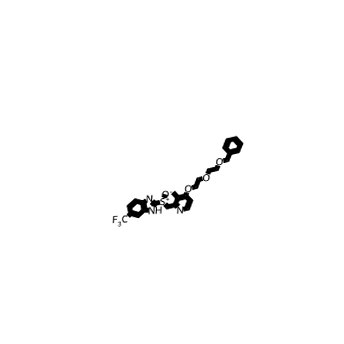 Cc1c(OCCOCCOCc2ccccc2)ccnc1C[S+]([O-])c1nc2ccc(C(F)(F)F)cc2[nH]1